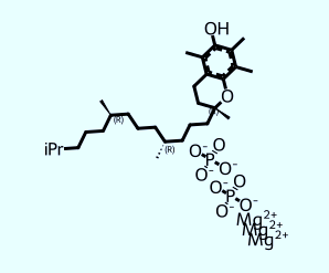 Cc1c(C)c2c(c(C)c1O)CC[C@@](C)(CCC[C@H](C)CCC[C@H](C)CCCC(C)C)O2.O=P([O-])([O-])[O-].O=P([O-])([O-])[O-].[Mg+2].[Mg+2].[Mg+2]